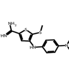 CSc1sc(C(=N)N)cc1Nc1ccc(N(C)C)cc1